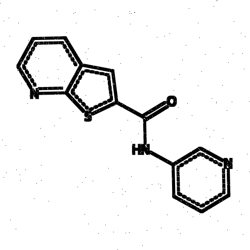 O=C(Nc1cccnc1)c1cc2cccnc2s1